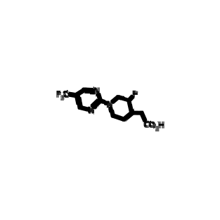 O=C(O)CC1CCN(c2ncc(C(F)(F)F)cn2)CC1F